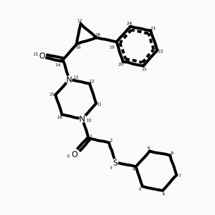 O=C(CSC1CCCCC1)N1CCN(C(=O)C2CC2c2ccccc2)CC1